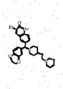 CCc1cc2cc(C(c3ccc4c(c3)OCCO4)N3CCC(CCN4CCCCC4)CC3)ccc2[nH]c1=O